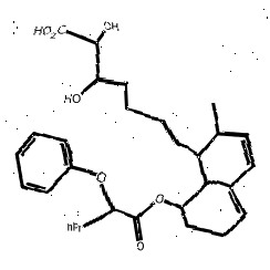 CCCC(Oc1ccccc1)C(=O)OC1CCC=C2C=CC(C)C(CCCCC(O)C(O)C(=O)O)C21